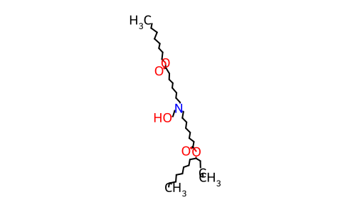 CCCCCCCCCOC(=O)CCCCCCCN(CCO)CCCCCCCC(=O)OC(CCCC)CCCCCCCC